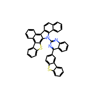 c1ccc2c(c1)ccc1c3c4ccccc4c4c5ccccc5sc4c3n(-c3nc(-c4ccc5sc6ccccc6c5c4)c4ccccc4n3)c21